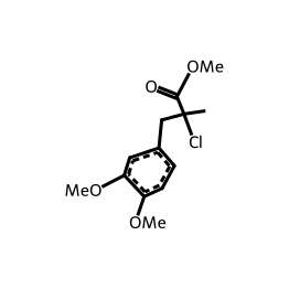 COC(=O)C(C)(Cl)Cc1ccc(OC)c(OC)c1